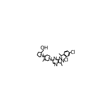 Cc1nn(C(C)c2ccc(Cl)cc2Cl)c2nc(N3CC[C@H](N4CCCC4CO)[C@H](C)C3)cnc12